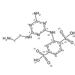 NCCNc1nc(N)nc(Nc2cc(S(=O)(=O)O)ccc2S(=O)(=O)O)n1